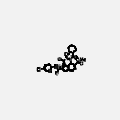 COC(=O)c1ccc2cc(C(=O)Nc3ccc(Cl)cn3)oc2c1N(C(=O)C1CCCCC1)N(C)C(=O)OC(C)(C)C